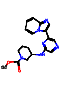 CC(C)(C)OC(=O)N1CCC[C@@H](Nc2cncc(-c3cnc4ccccn34)n2)C1